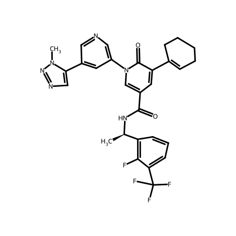 C[C@@H](NC(=O)c1cc(C2=CCCCC2)c(=O)n(-c2cncc(-c3cnnn3C)c2)c1)c1cccc(C(F)(F)F)c1F